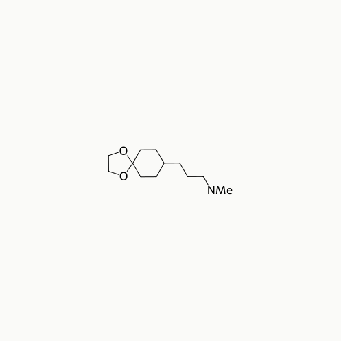 CNCCCC1CCC2(CC1)OCCO2